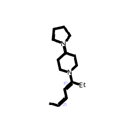 C/C=C\C=C(/CC)N1CCC(N2CCCC2)CC1